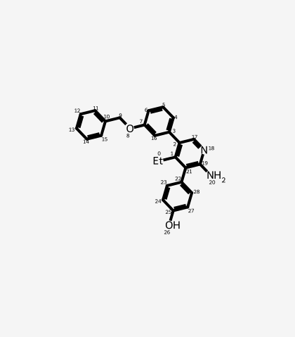 CCc1c(-c2cccc(OCc3ccccc3)c2)cnc(N)c1-c1ccc(O)cc1